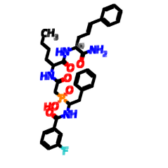 CCCCC(NC(=O)CP(=O)(O)C(Cc1ccccc1)NC(=O)c1cccc(F)c1)C(=O)N[C@@H](CC=Cc1ccccc1)C(N)=O